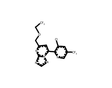 FC(F)(F)COCc1cc(-c2ncc(C(F)(F)F)cc2Cl)n2ncnc2n1